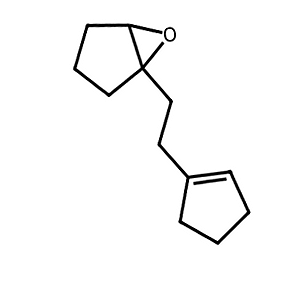 C1=C(CCC23CCCC2O3)CCC1